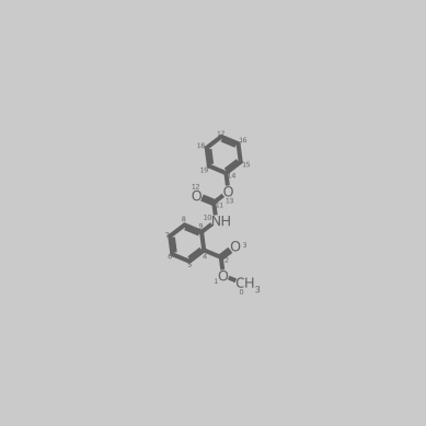 COC(=O)c1ccccc1NC(=O)Oc1ccccc1